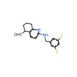 O=CC1CCCc2nc(NCc3cc(F)cc(F)c3)ccc21